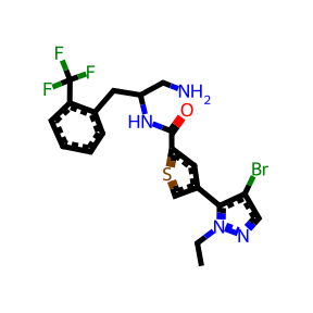 CCn1ncc(Br)c1-c1csc(C(=O)NC(CN)Cc2ccccc2C(F)(F)F)c1